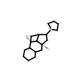 C1CCC2C(C1)C[C@@H]1CC(N3CCCC3)C3C[C@H]2C31